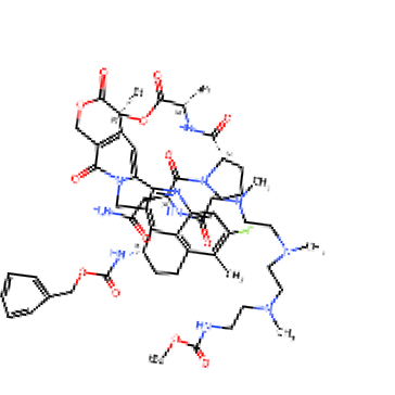 CC[C@@]1(OC(=O)[C@@H](NC(=O)[C@@H]2CCCN2C(=O)[C@H](CC(N)=O)NC(=O)CN(C)CCN(C)CCN(C)CCNC(=O)OC(C)(C)C)C(C)C)C(=O)OCc2c1cc1n(c2=O)Cc2c-1nc1cc(F)c(C)c3c1c2[C@@H](NC(=O)OCc1ccccc1)CC3